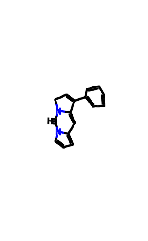 B1N2CC=C(c3ccccc3)C2=Cc2cccn21